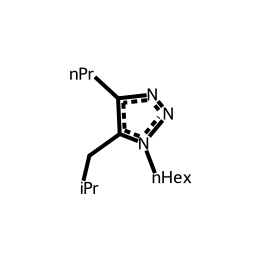 CCCCCCn1nnc(CCC)c1CC(C)C